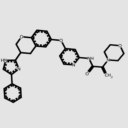 C=C(C(=O)Nc1cc(Oc2ccc3c(c2)CC(c2nc(-c4ccccc4)c[nH]2)CO3)ccn1)N1CCOCC1